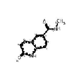 CNC(=O)c1ccc2[nH]c(=O)ccc2c1